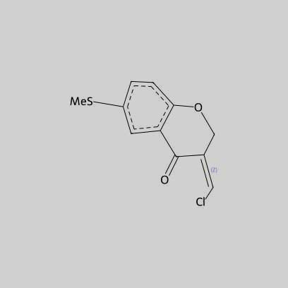 CSc1ccc2c(c1)C(=O)/C(=C\Cl)CO2